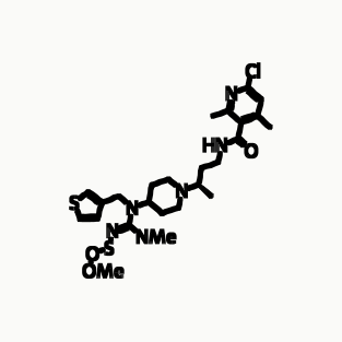 CN/C(=N\SOOC)N(Cc1ccsc1)C1CCN([C@H](C)CCNC(=O)c2c(C)cc(Cl)nc2C)CC1